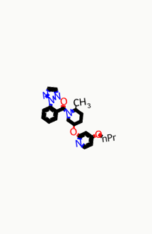 CCCOc1ccnc(O[C@@H]2CC[C@@H](C)N(C(=O)c3ccccc3-n3nccn3)C2)c1